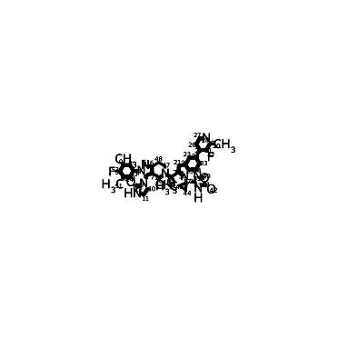 Cc1cc(-n2nc3c(c2-n2cc[nH]c2=O)[C@H](C)N(C(=O)c2cc4cc(-c5ccnc(C)c5F)ccc4n2[C@@]2(c4noc(=O)[nH]4)C[C@@H]2C)CC3)cc(C)c1F